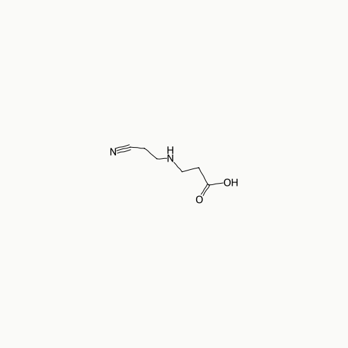 N#CCCNCCC(=O)O